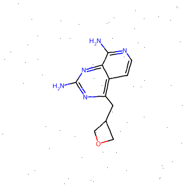 Nc1nc(CC2COC2)c2ccnc(N)c2n1